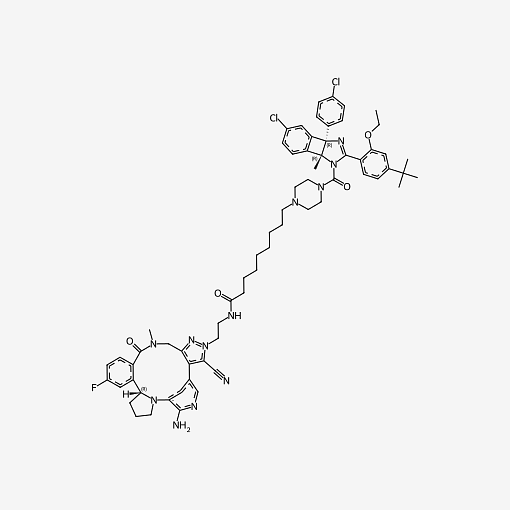 CCOc1cc(C(C)(C)C)ccc1C1=N[C@]2(c3ccc(Cl)cc3)c3cc(Cl)ccc3[C@@]2(C)N1C(=O)N1CCN(CCCCCCCCC(=O)NCCn2nc3c(c2C#N)-c2cnc(N)c(c2)N2CCC[C@@H]2c2cc(F)ccc2C(=O)N(C)C3)CC1